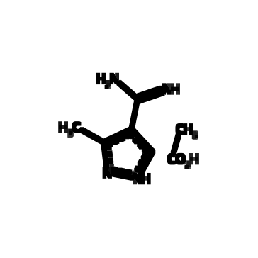 CC(=O)O.Cc1n[nH]cc1C(=N)N